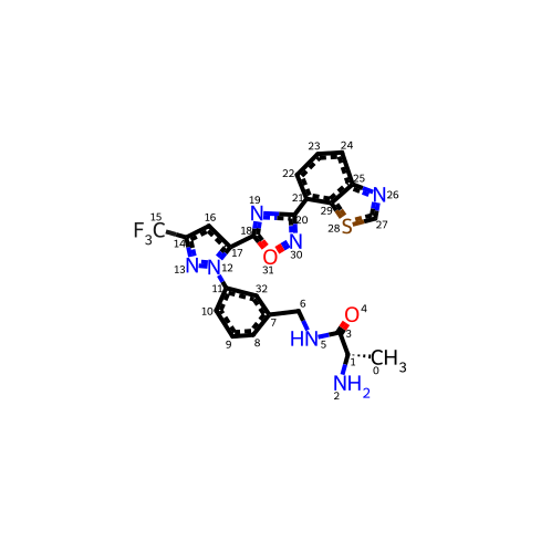 C[C@H](N)C(=O)NCc1cccc(-n2nc(C(F)(F)F)cc2-c2nc(-c3cccc4ncsc34)no2)c1